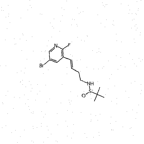 CC(C)(C)[S+]([O-])NCCC=Cc1cc(Br)cnc1F